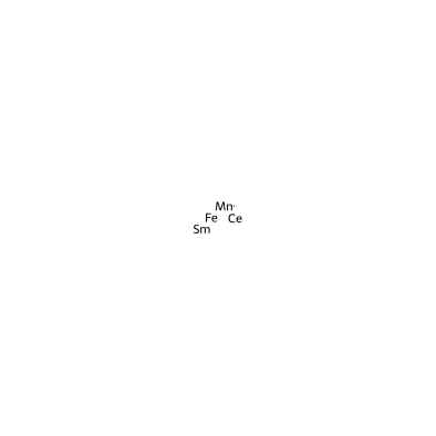 [Ce].[Fe].[Mn].[Sm]